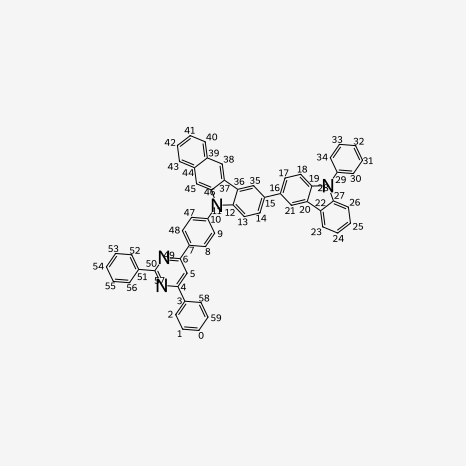 c1ccc(-c2cc(-c3ccc(-n4c5ccc(-c6ccc7c(c6)c6ccccc6n7-c6ccccc6)cc5c5cc6ccccc6cc54)cc3)nc(-c3ccccc3)n2)cc1